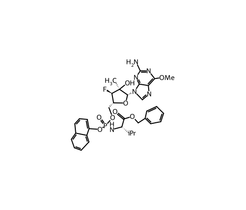 COc1nc(N)nc2c1ncn2[C@@H]1O[C@H](COP(=O)(N[C@H](C(=O)OCc2ccccc2)C(C)C)Oc2cccc3ccccc23)[C@@H](F)[C@@]1(C)O